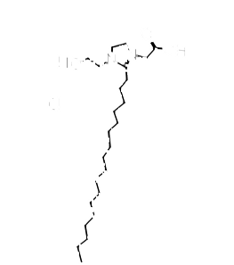 CCCCCCCCCCCCCCCCCC1=[N+](CC(=O)O)CCN1CCO.[Cl-]